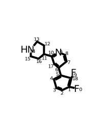 Fc1cccc(-c2ccnc(C3CCNCC3)c2)c1F